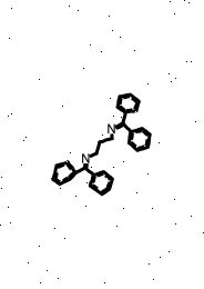 c1ccc(C(=NCCCN=C(c2ccccc2)c2ccccc2)c2ccccc2)cc1